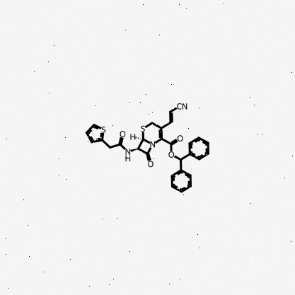 N#C/C=C/C1=C(C(=O)OC(c2ccccc2)c2ccccc2)N2C(=O)[C@@H](NC(=O)Cc3cccs3)[C@H]2SC1